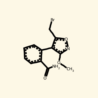 COc1noc(CBr)c1-c1ccccc1C(N)=O